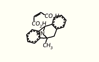 CC12Cc3ccccc3C(N1)c1ccccc12.O=C(O)/C=C\C(=O)O